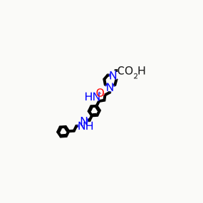 O=C(O)CN1CCCN(CC2CC(c3ccc(C=NNCCc4ccccc4)cc3)NO2)CC1